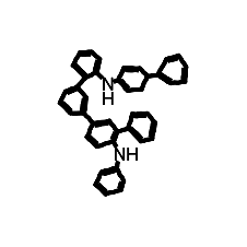 C1=CC(c2ccccc2)CC=C1Nc1ccccc1-c1cccc(-c2ccc(Nc3ccccc3)c(-c3ccccc3)c2)c1